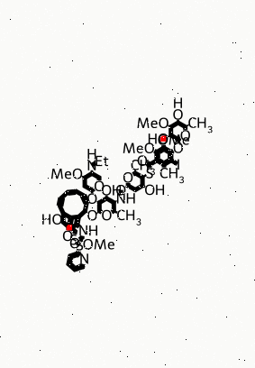 CCN[C@H]1CO[C@@H](O[C@H]2[C@H](O[C@H]3C#C/C=C\C#C[C@]4(O)CC(=O)C(NC(=O)OC)=C3/C4=C\CSSc3ccccn3)O[C@H](C)[C@@H](NO[C@H]3C[C@H](O)[C@H](SC(=O)c4c(C)c(I)c(O[C@@H]5O[C@@H](C)[C@H](O)[C@@H](OC)[C@H]5O)c(OC)c4OC)[C@@H](C)O3)[C@@H]2O)C[C@@H]1OC